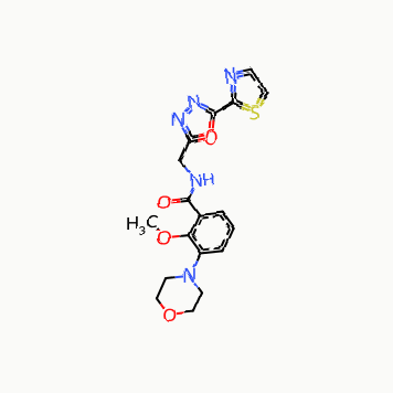 COc1c(C(=O)NCc2nnc(-c3nccs3)o2)cccc1N1CCOCC1